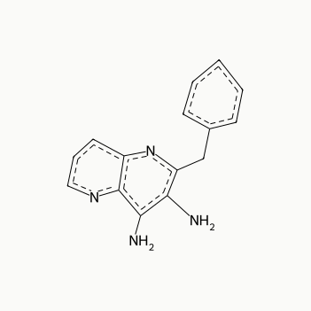 Nc1c(Cc2ccccc2)nc2cccnc2c1N